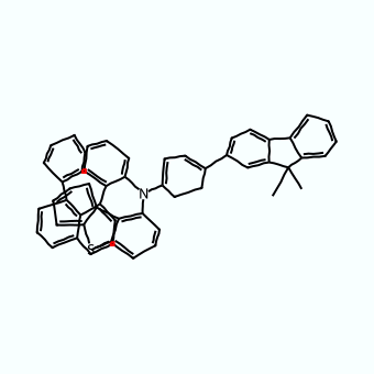 CC1(C)c2ccccc2-c2ccc(C3=CC=C(N(c4ccccc4-c4cccc5cccc(-c6ccccc6)c45)c4cccc5sc6ccccc6c45)CC3)cc21